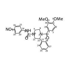 COc1ccc(C(=O)N2CCN(C(=O)Nc3ccc(C#N)cc3)CC2c2ccccc2)cc1OC